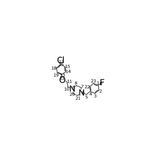 Fc1ccc(CN2CCN(CCOc3ccc(Cl)cc3)CC2)cc1